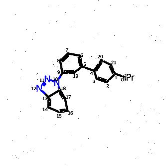 CC(C)c1ccc(-c2cc[c]c(-n3nnc4ccccc43)c2)cc1